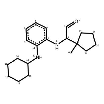 CC1(C(C=O)Nc2ccccc2NC2CCCCC2)CCCC1